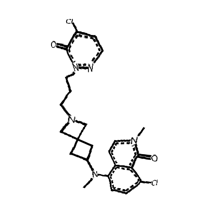 CN(c1ccc(Cl)c2c(=O)n(C)ccc12)C1CC2(C1)CN(CCCn1nccc(Cl)c1=O)C2